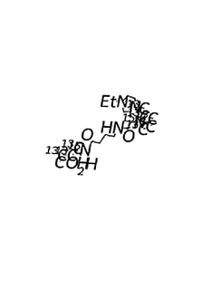 CCN1CCN([13CH2][13CH]2[13CH2][13CH2][13CH2][15N]2CC(=O)NCCCC(=O)[15NH][13CH2][13CH2][13CH2][13C](=O)O)CC1